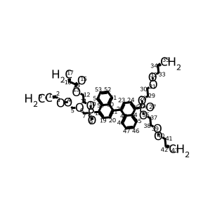 C=C=COOCOCP(=O)(OCCOC(=O)C=C)c1ccc(-c2ccc(P(=O)(OCCOOCC=C)OCCOOCC=C)c3ccccc23)c2ccccc12